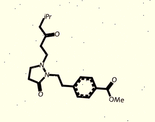 COC(=O)c1ccc(CCN2C(=O)CCN2CCC(=O)CC(C)C)cc1